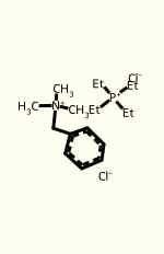 CC[P+](CC)(CC)CC.C[N+](C)(C)Cc1ccccc1.[Cl-].[Cl-]